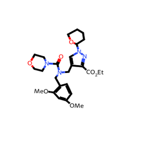 CCOC(=O)c1nn(C2CCCCO2)cc1CN(Cc1ccc(OC)cc1OC)C(=O)N1CCOCC1